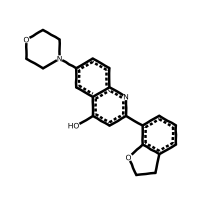 Oc1cc(-c2cccc3c2OCC3)nc2ccc(N3CCOCC3)cc12